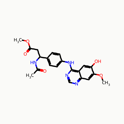 COC(=O)CC(NC(C)=O)c1ccc(Nc2ncnc3cc(OC)c(O)cc23)cc1